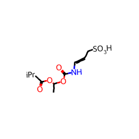 CC(OC(=O)N/C=C/CS(=O)(=O)O)OC(=O)C(C)C